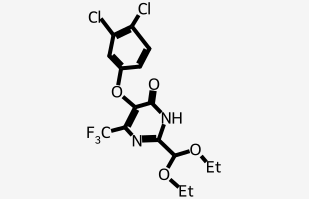 CCOC(OCC)c1nc(C(F)(F)F)c(Oc2ccc(Cl)c(Cl)c2)c(=O)[nH]1